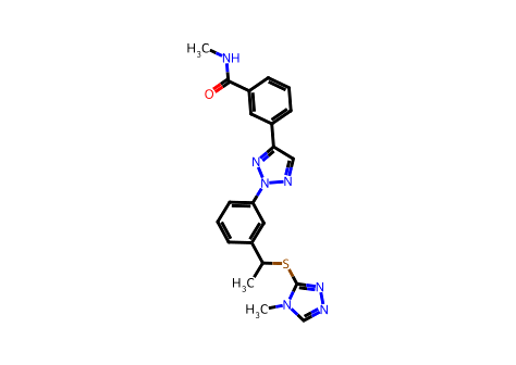 CNC(=O)c1cccc(-c2cnn(-c3cccc(C(C)Sc4nncn4C)c3)n2)c1